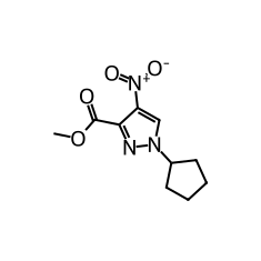 COC(=O)c1nn(C2CCCC2)cc1[N+](=O)[O-]